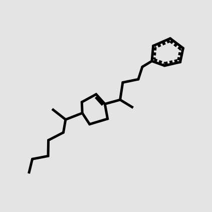 CCCCCC(C)C1CC=C(C(C)CCCc2ccccc2)CC1